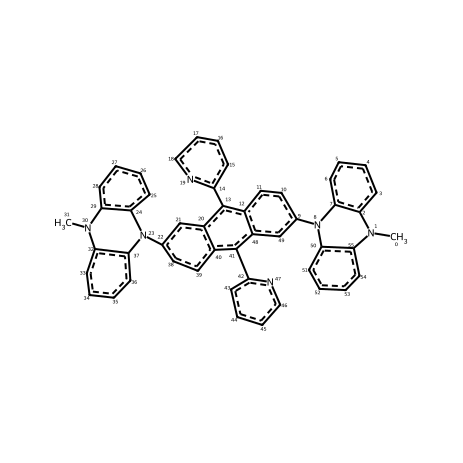 CN1c2ccccc2N(c2ccc3c(-c4ccccn4)c4cc(N5c6ccccc6N(C)c6ccccc65)ccc4c(-c4ccccn4)c3c2)c2ccccc21